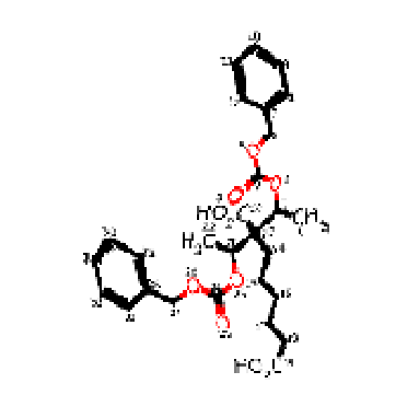 CC(OC(=O)OCc1ccccc1)C(CCCCCC(=O)O)(C(=O)O)C(C)OC(=O)OCc1ccccc1